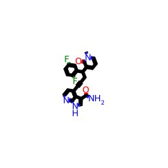 Cn1cccc(C(CC#Cc2ccnc3[nH]cc(C(N)=O)c23)c2cc(F)ccc2F)c1=O